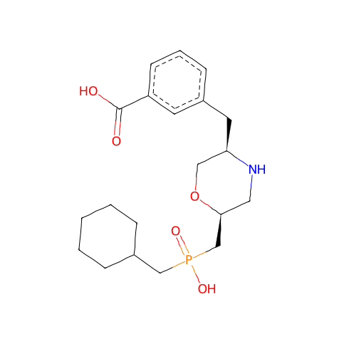 O=C(O)c1cccc(C[C@@H]2CO[C@H](CP(=O)(O)CC3CCCCC3)CN2)c1